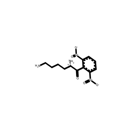 NCCCC[C@H](N)C(=O)c1c([N+](=O)[O-])cccc1[N+](=O)[O-]